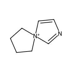 C1=C[N+]2(C=N1)CCCC2